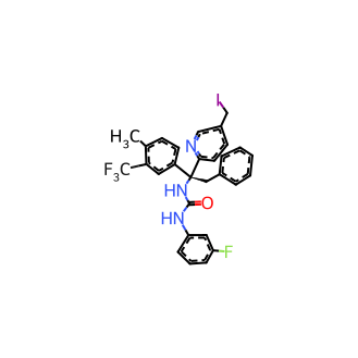 Cc1ccc([C@@](Cc2ccccc2)(NC(=O)Nc2cccc(F)c2)c2ccc(CI)cn2)cc1C(F)(F)F